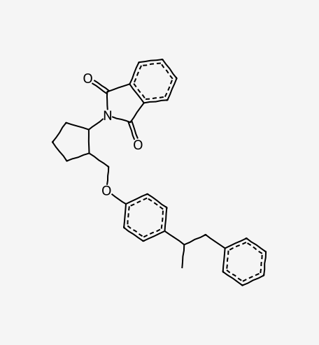 CC(Cc1ccccc1)c1ccc(OCC2CCCC2N2C(=O)c3ccccc3C2=O)cc1